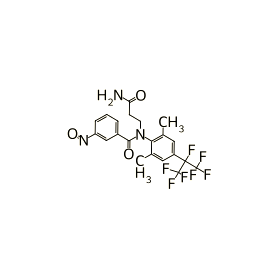 Cc1cc(C(F)(C(F)(F)F)C(F)(F)F)cc(C)c1N(CCC(N)=O)C(=O)c1cccc(N=O)c1